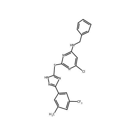 Cc1cc(-c2n[nH]c(Sc3nc(Cl)cc(NCc4ccccc4)n3)n2)cc(C(F)(F)F)c1